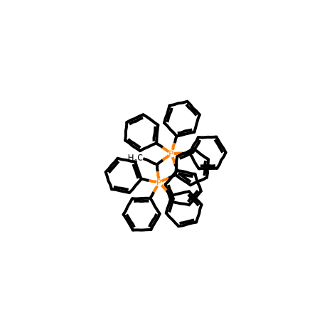 CC(P(c1ccccc1)(c1ccccc1)(c1ccccc1)c1ccccc1)P(c1ccccc1)(c1ccccc1)(c1ccccc1)c1ccccc1